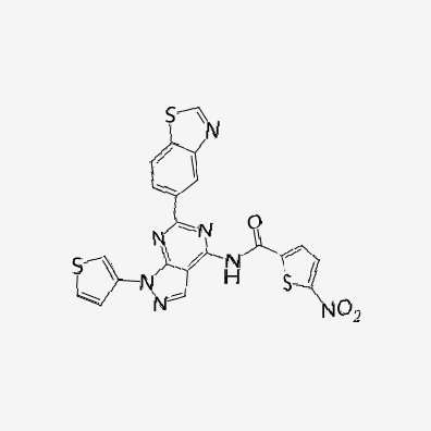 O=C(Nc1nc(-c2ccc3scnc3c2)nc2c1cnn2-c1ccsc1)c1ccc([N+](=O)[O-])s1